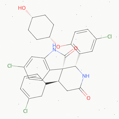 O=C1C[C@@H](C2C=CC=C(Cl)C2)[C@]2(C(=O)Nc3cc(Cl)ccc32)[C@H](c2cc(Cl)ccc2O[C@H]2CC[C@@H](O)CC2)N1